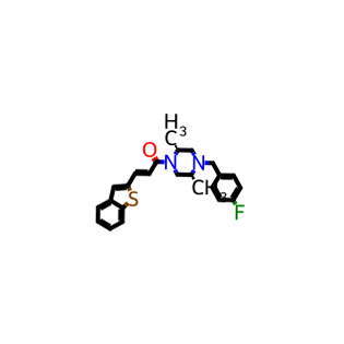 C[C@@H]1CN(Cc2ccc(F)cc2)[C@@H](C)CN1C(=O)/C=C/c1cc2ccccc2s1